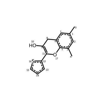 Cc1cc(C)c2c(c1)CC(O)=C(c1cccs1)O2